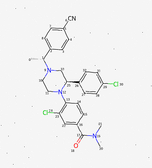 C[C@H](c1ccc(C#N)cc1)N1CCN(c2ccc(C(=O)N(C)C)cc2Cl)[C@H](c2ccc(Cl)cc2)C1